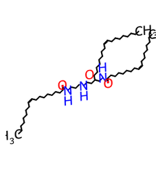 CCCCCCCC/C=C\CCCCCCCC(=O)NCCCNCCC(CNC(=O)CCCCCCC/C=C\CCCCCCCC)C(=O)CCCCCCC/C=C\CCCCCCCC